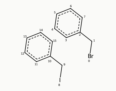 BrCc1ccccc1.ICc1ccccc1